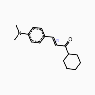 CN(C)c1ccc(/C=C/C(=O)C2CCCCC2)cc1